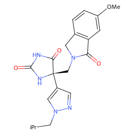 COc1ccc2c(c1)C(=O)N(C[C@@]1(c3cnn(CC(C)C)c3)NC(=O)NC1=O)C2